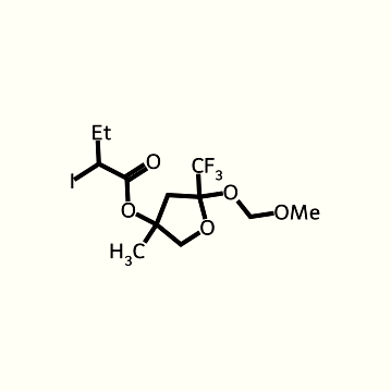 CCC(I)C(=O)OC1(C)COC(OCOC)(C(F)(F)F)C1